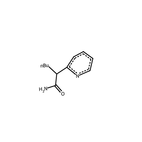 CCCCC(C(N)=O)c1ccccn1